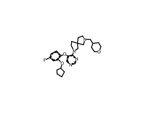 Fc1ccc(Oc2cncnc2N2CCC3(CCN(CC4CCOCC4)C3)C2)c(OC2CCCC2)c1